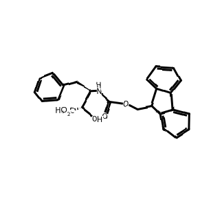 O=C(N[C@H](Cc1ccccc1)[C@H](O)C(=O)O)OCC1c2ccccc2-c2ccccc21